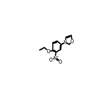 CCOc1ccc(N2C=COC2)cc1[N+](=O)[O-]